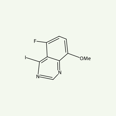 COc1ccc(F)c2c(I)ncnc12